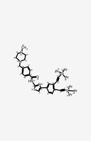 CC(C)[Si](C#Cc1ccc(-c2csc(NC(=O)c3ccc(CN4CCN(C)CC4)cc3)n2)cc1C#C[Si](C(C)C)(C(C)C)C(C)C)(C(C)C)C(C)C